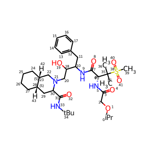 CC(C)OCC(=O)N[C@H](C(=O)NC(Cc1ccccc1)C(O)CN1C[C@H]2CCCC[C@H]2CC1C(=O)NC(C)(C)C)C(C)(C)S(C)(=O)=O